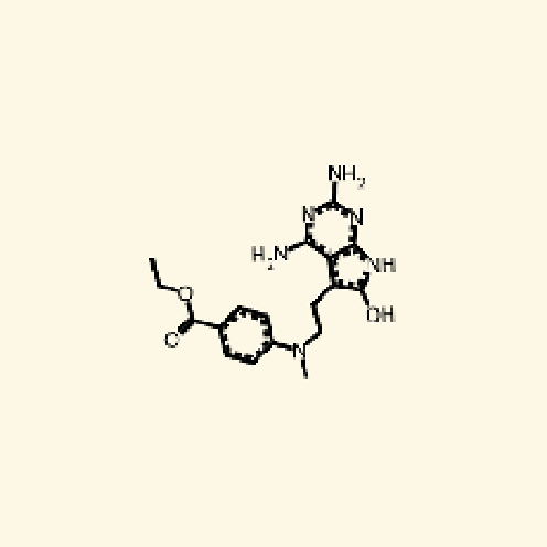 CCOC(=O)c1ccc(N(C)CCc2c(O)[nH]c3nc(N)nc(N)c23)cc1